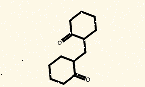 O=C1CCCCC1CC1CCCCC1=O